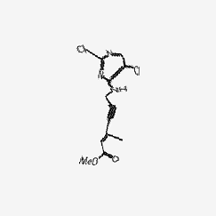 COC(=O)/C=C(\C)C#CCNc1nc(Cl)ncc1Cl